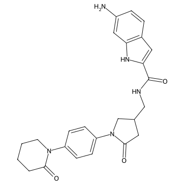 Nc1ccc2cc(C(=O)NCC3CC(=O)N(c4ccc(N5CCCCC5=O)cc4)C3)[nH]c2c1